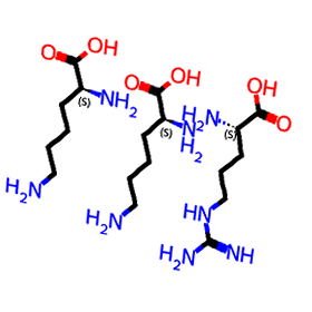 N=C(N)NCCC[C@H](N)C(=O)O.NCCCC[C@H](N)C(=O)O.NCCCC[C@H](N)C(=O)O